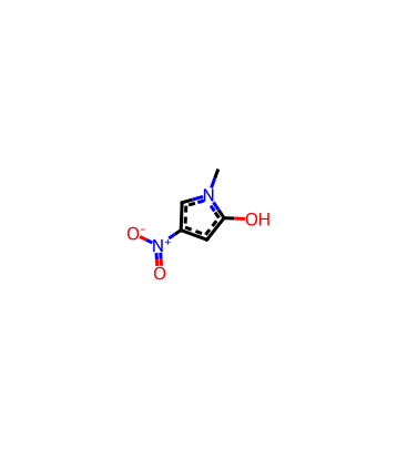 Cn1cc([N+](=O)[O-])cc1O